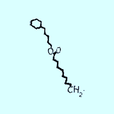 [CH2]CCCCCCCCC(=O)OCCCCCC1CCCCC1